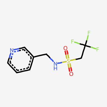 O=S(=O)(CC(F)(F)F)NCc1cccnc1